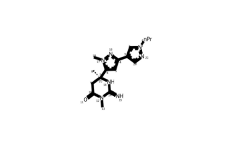 CCCn1cc(-c2cc([C@]3(C)CC(=O)N(C)C(=N)N3)n(C)n2)cn1